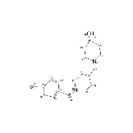 CC1CCN(CC2CCN(Sc3ccc(Br)cc3)CC2)CC1